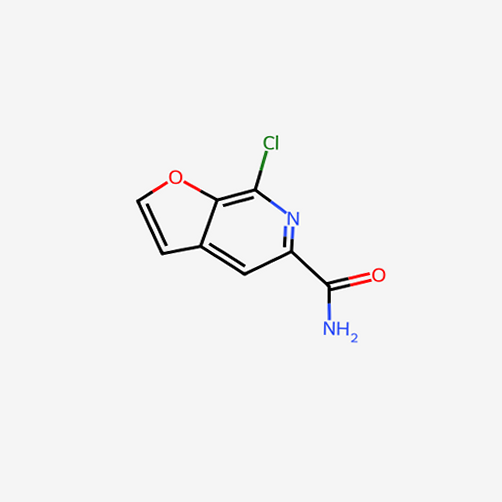 NC(=O)c1cc2ccoc2c(Cl)n1